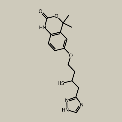 CC1(C)OC(=O)Nc2ccc(OCCC(S)Cc3nc[nH]n3)cc21